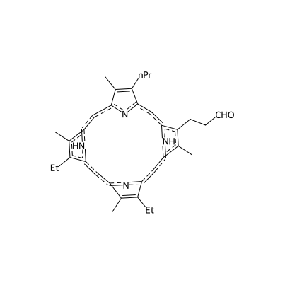 CCCC1=C(C)c2cc3[nH]c(cc4nc(cc5[nH]c(cc1n2)c(CCC=O)c5C)C(CC)=C4C)c(CC)c3C